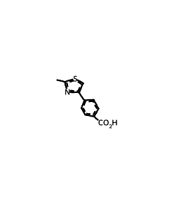 Cc1nc(-c2ccc(C(=O)O)cc2)cs1